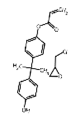 C=CC(=O)Oc1ccc(C(C)(C)c2ccc(O)cc2)cc1.ClCC1CO1